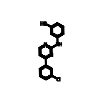 Oc1cccc(Nc2nccc(-c3cccc(Cl)c3)n2)c1